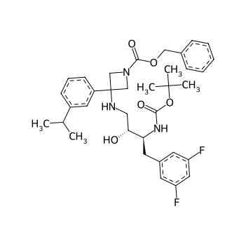 CC(C)c1cccc(C2(NC[C@@H](O)[C@H](Cc3cc(F)cc(F)c3)NC(=O)OC(C)(C)C)CN(C(=O)OCc3ccccc3)C2)c1